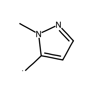 [CH2]c1ccnn1C